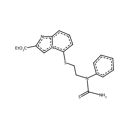 CCOC(=O)c1cn2c(SCCN(C(N)=S)c3ccccc3)cccc2n1